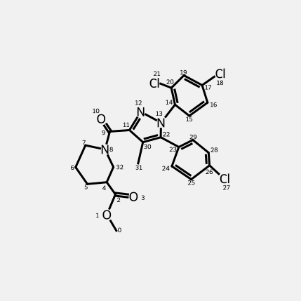 COC(=O)C1CCCN(C(=O)c2nn(-c3ccc(Cl)cc3Cl)c(-c3ccc(Cl)cc3)c2C)C1